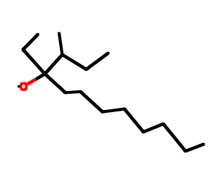 CCCCCCCCC([O])(CC)C(C)CC